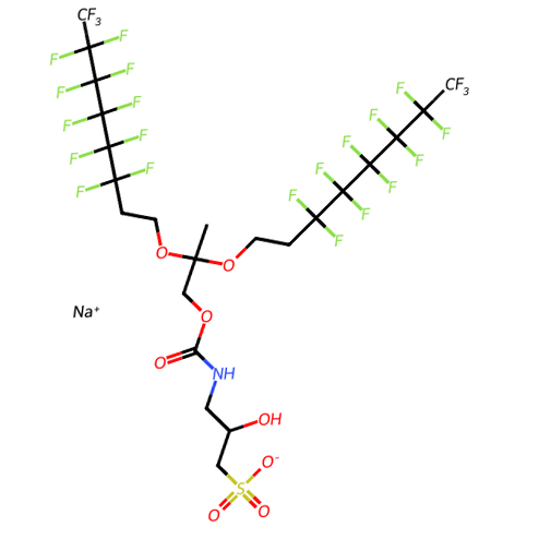 CC(COC(=O)NCC(O)CS(=O)(=O)[O-])(OCCC(F)(F)C(F)(F)C(F)(F)C(F)(F)C(F)(F)C(F)(F)F)OCCC(F)(F)C(F)(F)C(F)(F)C(F)(F)C(F)(F)C(F)(F)F.[Na+]